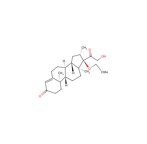 COCO[C@]1(C(=O)CO)[C@@H](C)C[C@H]2[C@@H]3CCC4=CC(=O)CC[C@]4(C)[C@H]3CC[C@@]21C